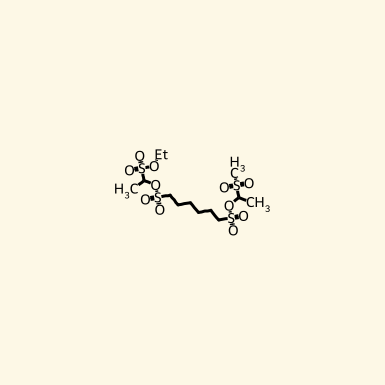 CCOS(=O)(=O)C(C)OS(=O)(=O)CCCCCCS(=O)(=O)OC(C)S(C)(=O)=O